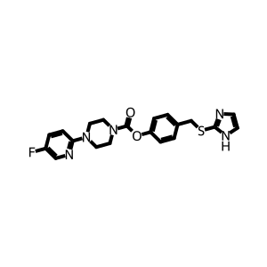 O=C(Oc1ccc(CSc2ncc[nH]2)cc1)N1CCN(c2ccc(F)cn2)CC1